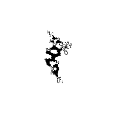 CCS(=O)(=O)c1cc(-c2ccn3nc(C(F)(F)F)cc3n2)cnc1-n1nc(C)nc1C